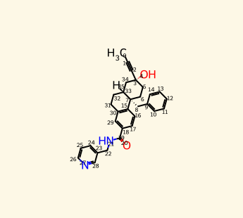 CC#C[C@@]1(O)CC[C@@]2(Cc3ccccc3)c3ccc(C(=O)NCc4cccnc4)cc3CC[C@@H]2C1